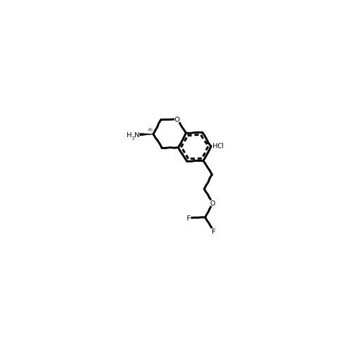 Cl.N[C@H]1COc2ccc(CCOC(F)F)cc2C1